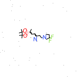 C=N/C(=C\C=C(/C)B1OC(C)(C)C(C)(C)O1)CCN1CCC(F)(F)C1